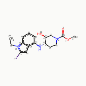 CC(C)(C)OC(=O)N1CC[C@H](Nc2cccc3c2cc(I)n3CC(F)(F)F)[C@@H](O)C1